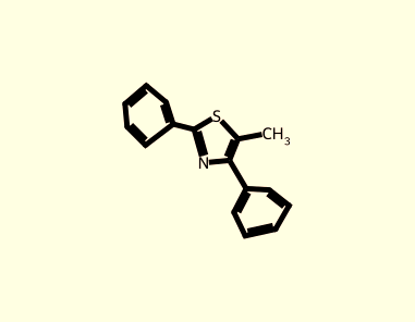 Cc1sc(-c2ccccc2)nc1-c1ccccc1